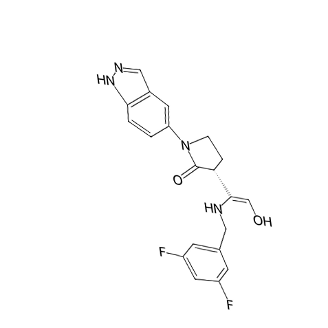 O=C1[C@@H](C(=CO)NCc2cc(F)cc(F)c2)CCN1c1ccc2[nH]ncc2c1